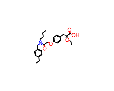 CCCCN(Cc1ccc(CC)cc1)C(=O)COc1ccc(C[C@H](OCC)C(=O)O)cc1